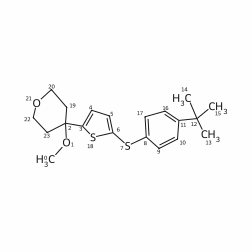 COC1(c2ccc(Sc3ccc(C(C)(C)C)cc3)s2)CCOCC1